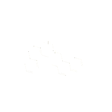 CCN(Cc1c(O)ccc2ccccc12)Cc1c(O)ccc2ccccc12